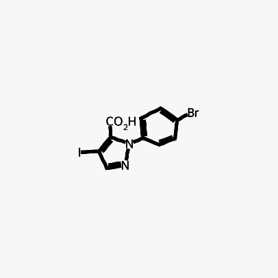 O=C(O)c1c(I)cnn1-c1ccc(Br)cc1